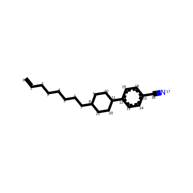 C=CCCCCCCC1CCC(c2ccc(C#N)cc2)CC1